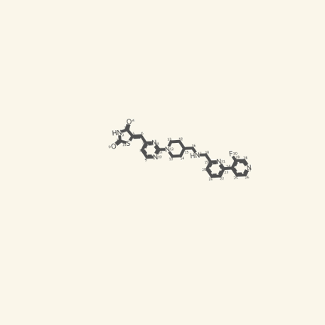 O=C1NC(=O)/C(=C/c2ccnc(N3CCC(CNCc4cccc(-c5ccncc5F)n4)CC3)n2)S1